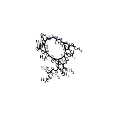 COc1cc2cc(c1Cl)N(C)C(=O)CC(OC(=O)[C@@H](C)N(C)C(=O)CCC(C)(C)SSC)C1(C)OC1C(C)[C@@H]1CC(O)(NC(=O)O1)C(OC)/C=C/C=C(\C)C2